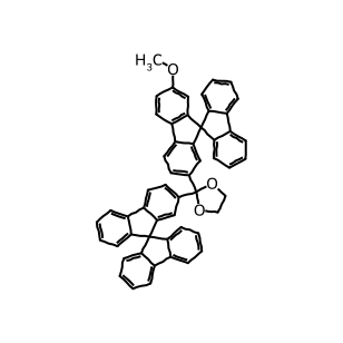 COc1ccc2c(c1)C1(c3ccccc3-c3ccccc31)c1cc(C3(c4ccc5c(c4)C4(c6ccccc6-c6ccccc64)c4ccccc4-5)OCCO3)ccc1-2